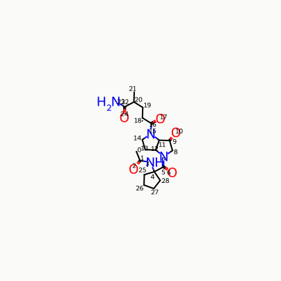 CC(=O)NC1(C(=O)N2CC(=O)C3C2CCN3C(=O)[CH]CC(C)C(N)=O)CCCC1